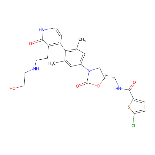 Cc1cc(N2C[C@H](CNC(=O)c3ccc(Cl)s3)OC2=O)cc(C)c1-c1cc[nH]c(=O)c1CCNCCO